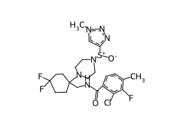 Cc1ccc(C(=O)NCC2(N3CCN([S+]([O-])c4cn(C)nn4)CC3)CCC(F)(F)CC2)c(Cl)c1F